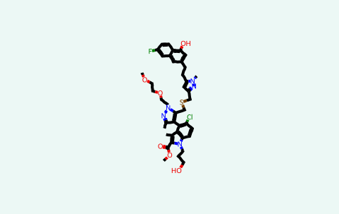 COCCOCCn1nc(C)c(-c2c(Cl)ccc3c2c(C)c(C(=O)OC)n3CCCO)c1CSCc1cc(CCc2cc(O)c3ccc(F)cc3c2)n(C)n1